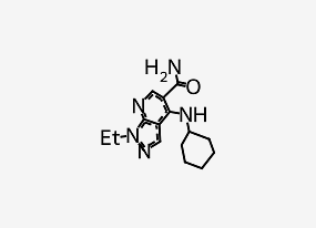 CCn1ncc2c(NC3CCCCC3)c(C(N)=O)cnc21